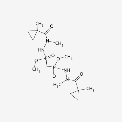 COP(=O)(CP(=O)(NN(C)C(=O)C1(C)CC1)OC)NN(C)C(=O)C1(C)CC1